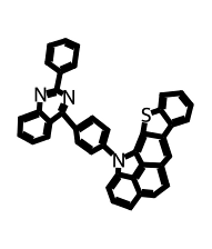 c1ccc(-c2nc(-c3ccc(-n4c5cccc6ccc7cc8c9ccccc9sc8c4c7c65)cc3)c3ccccc3n2)cc1